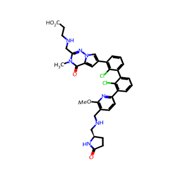 COc1nc(-c2cccc(-c3cccc(-c4cc5c(=O)n(C)c(CNCCC(=O)O)nn5c4)c3Cl)c2Cl)ccc1CNC[C@H]1CCC(=O)N1